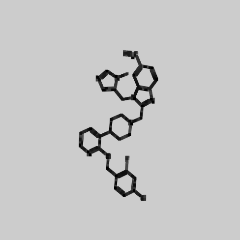 Cn1cncc1Cn1c(CN2CCC(c3cccnc3OCc3ccc(Cl)cc3F)CC2)nc2ccc(C(=O)O)cc21